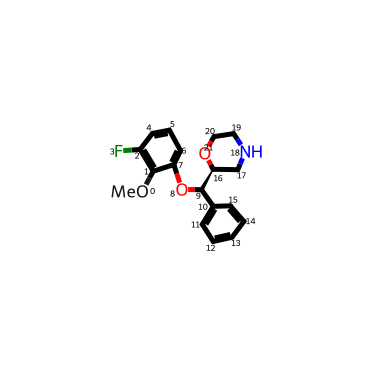 COc1c(F)cccc1OC(c1ccccc1)[C@@H]1CNCCO1